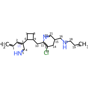 C=C/C=C(\C=N)C1CCC1CC1=C(Cl)CC(CNCCC)C=N1